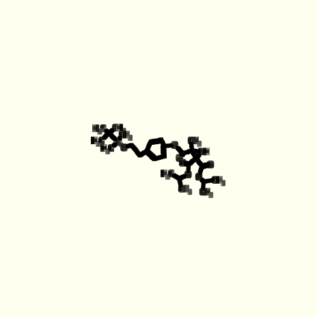 CC(C)OC(=O)C1(C(=O)OC(C)C)NC1(C)C(=O)Oc1ccc(CCO[Si](C)(C)C(C)(C)C)cc1